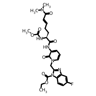 CCOC(=O)n1c(Cn2cccc(NC(=O)[C@H](CC/C=C/C(=O)N(C)C)NC(=O)OC)c2=O)nc2cc(F)ccc21